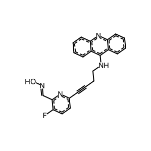 ON=Cc1nc(C#CCCNc2c3ccccc3nc3ccccc23)ccc1F